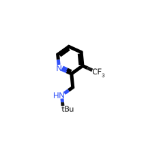 CC(C)(C)NCc1ncccc1C(F)(F)F